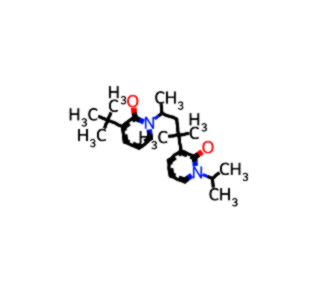 CC(C)n1cccc(C(C)(C)CC(C)n2cccc(C(C)(C)C)c2=O)c1=O